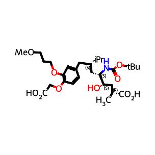 COCCCOc1cc(C[C@@H](C[C@H](NC(=O)OC(C)(C)C)[C@@H](O)C[C@@H](C)C(=O)O)C(C)C)ccc1OCC(=O)O